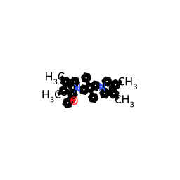 Cc1ccc([Si]2(c3ccc(C)cc3)c3ccccc3N(c3ccc4c(-c5ccccc5)c5cc(N6c7ccccc7[Si](c7ccc(C)cc7)(c7ccc(C)cc7)c7cc8c(cc76)oc6ccccc68)ccc5c(-c5ccccc5)c4c3)c3ccccc32)cc1